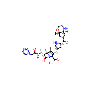 CC(NC(=O)Cn1cnnn1)[C@H]1C(=O)N2C(C(=O)O)=C(S[C@@H]3CN[C@H](C(=O)N4C[C@@H]5NCCO[C@@H]5C4)C3)[C@H](C)[C@H]12